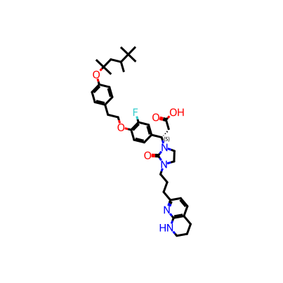 CC(CC(C)(C)Oc1ccc(CCOc2ccc([C@H](CC(=O)O)N3CCN(CCCc4ccc5c(n4)NCCC5)C3=O)cc2F)cc1)C(C)(C)C